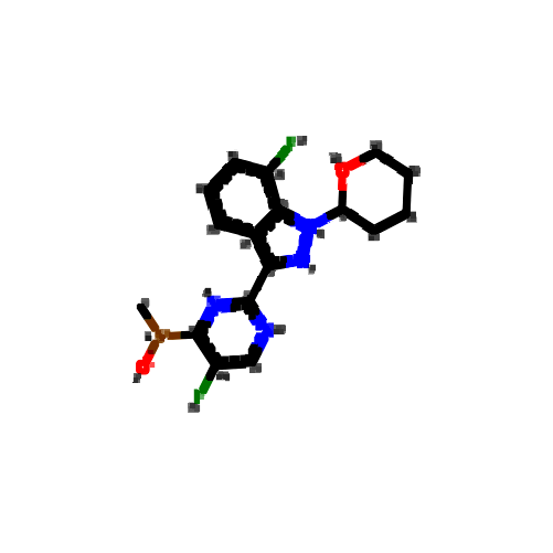 C[S+]([O-])c1nc(-c2nn(C3CCCCO3)c3c(F)cccc23)ncc1F